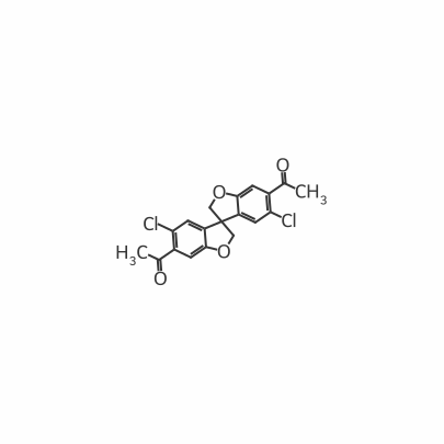 CC(=O)c1cc2c(cc1Cl)C1(CO2)COc2cc(C(C)=O)c(Cl)cc21